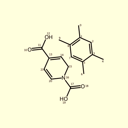 Cc1cc(C)c(C)cc1C.O=C(O)C1=CCN(C(=O)O)C=C1